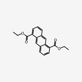 CCOC(=O)c1cccc2cc3c(C(=O)OCC)cccc3cc12